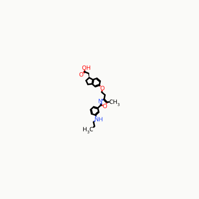 CCCNc1cccc(-c2nc(CCOc3ccc4c(c3)CC[C@H]4CC(=O)O)c(C)o2)c1